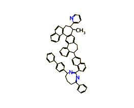 CC1c2cc3c(cc2-c2c(ccc4ccccc24)CC1c1ccccn1)-c1ccccc1C(c1ccc2c(C4=N/C(c5ccc(-c6ccccc6)cc5)CCC/C(c5ccccc5)=N\4)cccc2c1)CC3